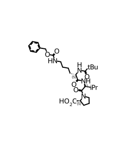 CC(C)[C@H](NC(=O)[C@H](CCCCNC(=O)OCc1ccccc1)NC(=O)C(C)(C)C)C(=O)N1CCC[C@H]1C(=O)O